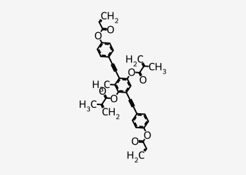 C=CC(=O)Oc1ccc(C#Cc2cc(OC(=O)C(=C)C)c(C#Cc3ccc(OC(=O)C=C)cc3)c(C)c2OC(=O)C(=C)C)cc1